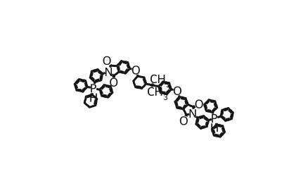 CC(C)(C1=CC(Oc2ccc3c(c2)C(=O)N(c2cccc([PH](C4=CCCC=C4)(c4ccccc4)c4ccccc4)c2)C3=O)CC=C1)c1ccc(Oc2ccc3c(c2)C(=O)N(c2cccc([PH](c4ccccc4)(c4ccccc4)c4ccccc4)c2)C3=O)cc1